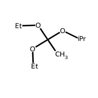 CCOC(C)(OCC)OC(C)C